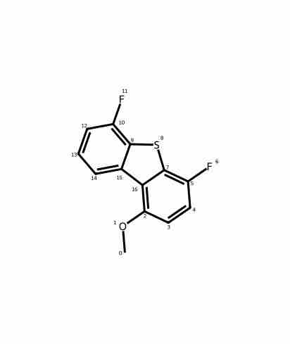 COc1ccc(F)c2sc3c(F)cccc3c12